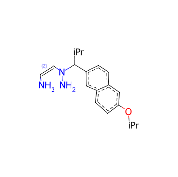 CC(C)Oc1ccc2cc(C(C(C)C)N(N)/C=C\N)ccc2c1